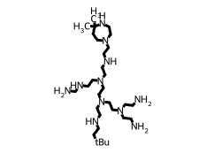 CC(C)(C)CCNCCN(CCN(CCN)CCN)CCN(CCNCN)CCNCCN1CCNC(C)(C)CC1